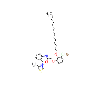 CCCCCCCCCCCCCCOc1c(Cl)cccc1OCC(=O)Nc1ccccc1C[n+]1cscc1C.[Br-]